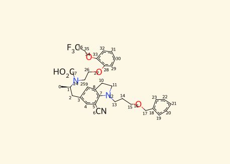 C[C@H](Cc1cc(C#N)c2c(c1)CCN2CCCOCc1ccccc1)N(CCOc1ccccc1OCC(F)(F)F)C(=O)O